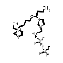 CCCC(OCCCC[N+]1(CC)C=CN=C1)n1cc[n+](CC)c1.F[B-](F)(F)F.F[B-](F)(F)F